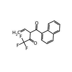 C=CC(C(=O)c1cccc2ccccc12)C(=O)C(F)(F)F